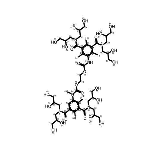 O=C(Nc1c(I)c(C(=O)N(CC(O)CO)CC(O)CO)c(I)c(C(=O)N(CC(O)CO)CC(O)CO)c1I)OCCOC(=O)N(I)c1cc(C(=O)N(CC(O)CO)CC(O)CO)c(I)c(C(=O)N(CC(O)CO)CC(O)CO)c1I